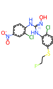 O=[N+]([O-])c1ccc(N/C(=N\O)Nc2cc(SCCF)ccc2Cl)c(Cl)c1